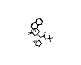 CC(C)(C)OC(=O)C([C@@H]1CCCN1)N(CC(=O)O)Cc1cccc2ccccc12